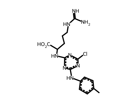 Cc1ccc(Nc2nc(Cl)nc(NC(CCCNC(=N)N)C(=O)O)n2)cc1